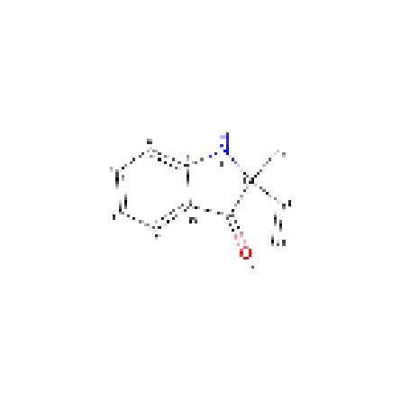 C=CC1(C)Nc2ccccc2C1=O